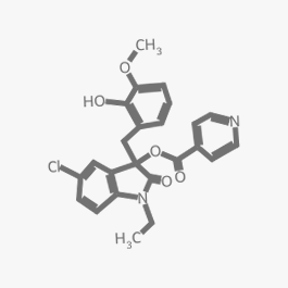 CCN1C(=O)C(Cc2cccc(OC)c2O)(OC(=O)c2ccncc2)c2cc(Cl)ccc21